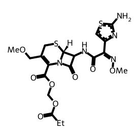 CCC(=O)OCOC(=O)C1=C(COC)CS[C@@H]2C(NC(=O)/C(=N\OC)c3csc(N)n3)C(=O)N12